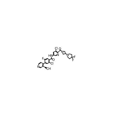 C#Cc1cnccc1-c1cc(Cl)c(C(=O)Nc2cnc(C(=O)N3CC(N4CCC(F)(F)CC4)C3)c(Cl)c2)cc1F